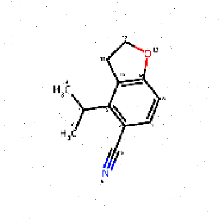 CC(C)c1c(C#N)ccc2c1CCO2